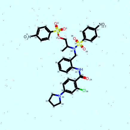 CC(COS(=O)(=O)c1ccc([N+](=O)[O-])cc1)N(Cc1ccccc1NC(=O)c1ccc(N2CCCC2)cc1Cl)S(=O)(=O)c1ccc([N+](=O)[O-])cc1